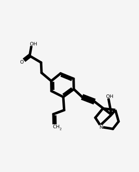 C=CCc1cc(CCC(=O)O)ccc1C#CC1(O)CN2CCC1CC2